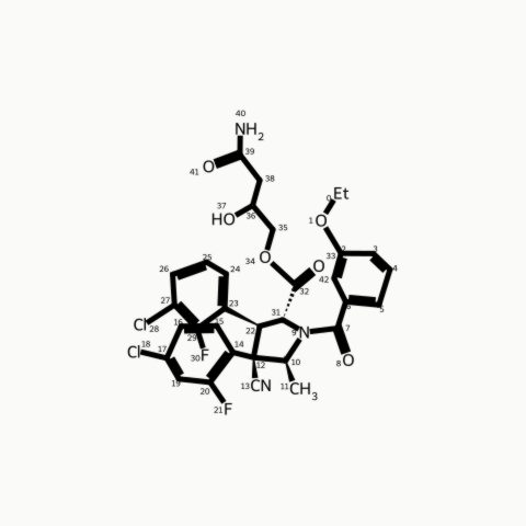 CCOc1cccc(C(=O)N2[C@@H](C)[C@](C#N)(c3ccc(Cl)cc3F)[C@@H](c3cccc(Cl)c3F)[C@@H]2C(=O)OCC(O)CC(N)=O)c1